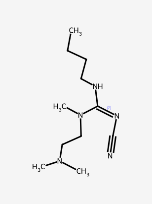 CCCCN/C(=N/C#N)N(C)CCN(C)C